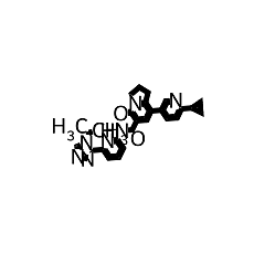 CC(C)n1cnnc1-c1cccc(NC(=O)c2cc(-c3ccc(C4CC4)nc3)c3n(c2=O)CCC3)n1